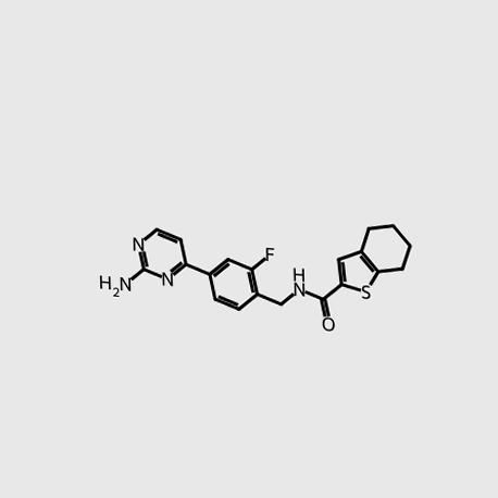 Nc1nccc(-c2ccc(CNC(=O)c3cc4c(s3)CCCC4)c(F)c2)n1